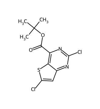 CC(C)(C)OC(=O)c1nc(Cl)nc2cc(Cl)sc12